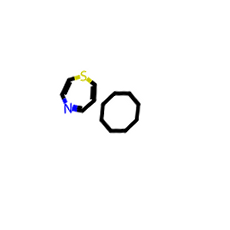 C1=CSC=CN=C1.C1CCCCCCC1